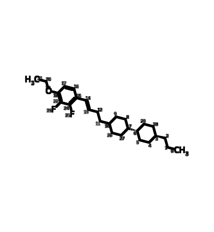 CCC[C@H]1CC[C@H](C2CCC(CCC=Cc3ccc(OCC)c(F)c3F)CC2)CC1